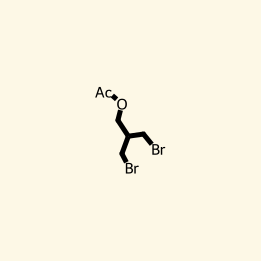 CC(=O)OCC(CBr)CBr